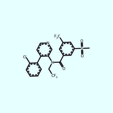 CS(=O)(=O)c1cc(C(=O)N(CC(F)(F)F)c2cnccc2-c2ccccc2Cl)cc(C(F)(F)F)c1